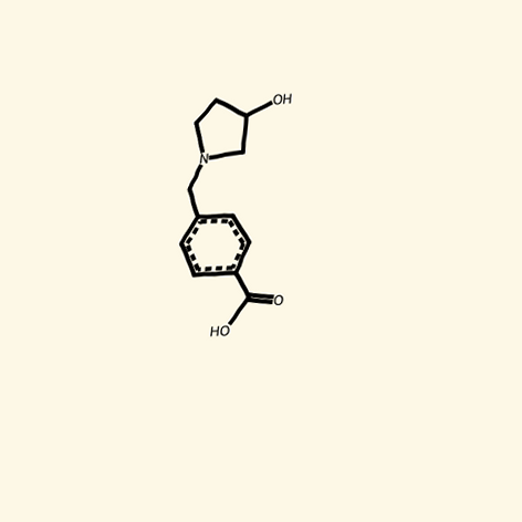 O=C(O)c1ccc(CN2CCC(O)C2)cc1